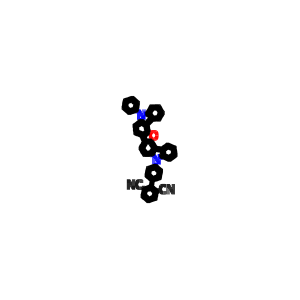 N#Cc1cccc(C#N)c1-c1ccc(-n2c3ccccc3c3c4oc5c(ccc6c5c5ccccc5n6-c5ccccc5)c4ccc32)cc1